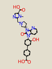 Cn1c(C(=O)O)cnc1CN1CC[C@H](n2c(=O)n(-c3ccc(-c4ccc(C(=O)O)cc4)cc3O)c3cccnc32)C1